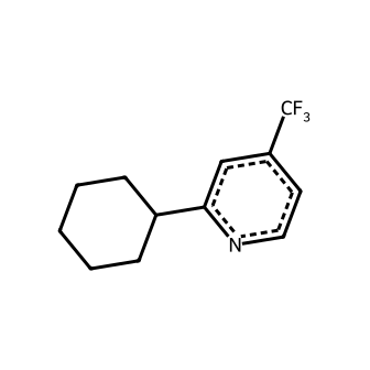 FC(F)(F)c1ccnc(C2CCCCC2)c1